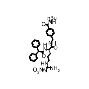 CCCCNC(=O)c1ccc(CNC(=O)[C@@H](CCCN/C(N)=N\[N+](=O)[O-])NC(=O)C(c2ccccc2)c2ccccc2)cc1